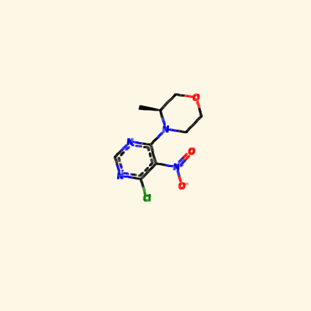 C[C@H]1COCCN1c1ncnc(Cl)c1[N+](=O)[O-]